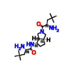 CC(C)(C)C[C@H](N)C(=O)N[C@H]1CC[C@@H]2CN(C(=O)[C@@H](N)CC(C)(C)C)C[C@@H]21